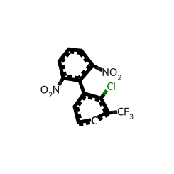 O=[N+]([O-])c1cccc([N+](=O)[O-])c1-c1cccc(C(F)(F)F)c1Cl